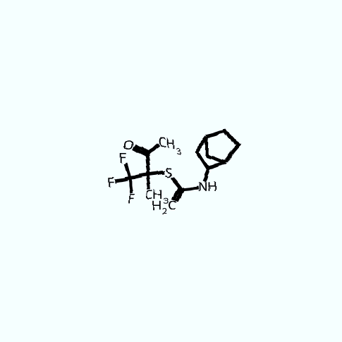 C=C(NC1CC2CCC1C2)SC(C)(C(C)=O)C(F)(F)F